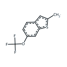 [CH2]c1cc2ccc(OC(F)(F)F)cc2s1